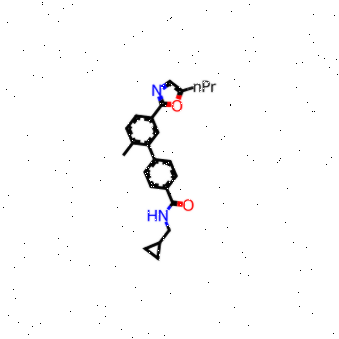 CCCc1cnc(-c2ccc(C)c(-c3ccc(C(=O)NCC4CC4)cc3)c2)o1